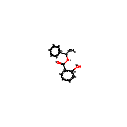 CC(OC(=O)c1ccccc1O)c1ccccc1